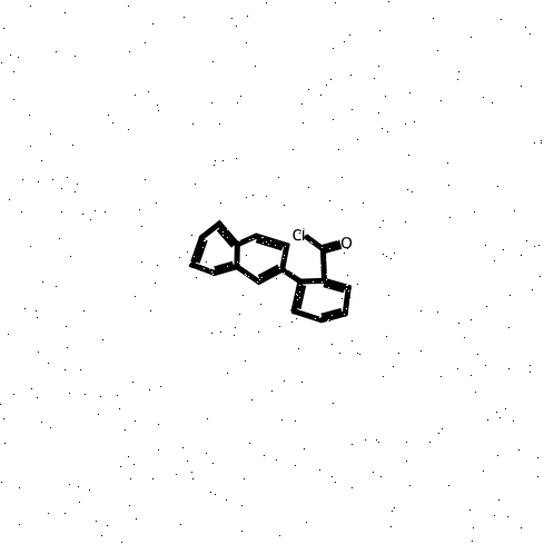 O=C(Cl)c1ccccc1-c1ccc2ccccc2c1